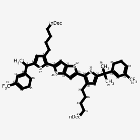 CCCCCCCCCCCCCCc1cc(C(C)C2=CC(C(F)(F)F)=CCC2)sc1-c1cc2sc(-c3sc(C(C)(C)C4=CC(C(F)(F)F)=CCC4)cc3CCCCCCCCCCCCCC)cc2s1